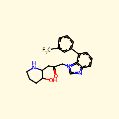 O=C(CC1NCCCC1O)Cn1cnc2cccc(-c3cccc(C(F)(F)F)c3)c21